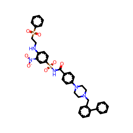 O=C(NS(=O)(=O)c1ccc(NCCS(=O)(=O)c2ccccc2)c([N+](=O)[O-])c1)c1ccc(N2CCN(Cc3ccccc3-c3ccccc3)CC2)cc1